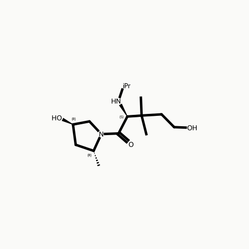 CC(C)N[C@H](C(=O)N1C[C@H](O)C[C@H]1C)C(C)(C)CCO